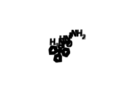 NCCNC(=O)[C@@H](N)CSC(c1ccccc1)(c1ccccc1)c1ccccc1